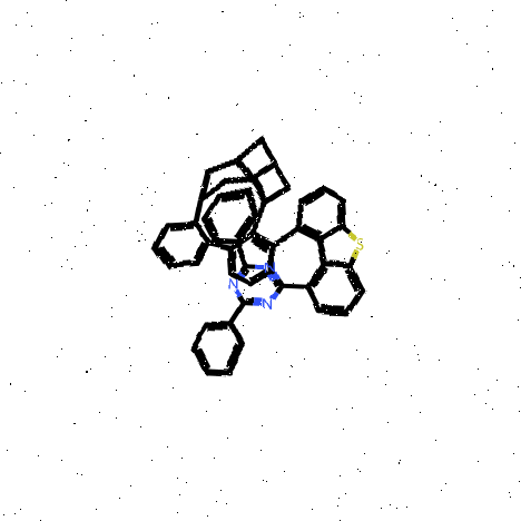 c1ccc(-c2nc(-c3ccccc3)nc(-c3cccc4sc5cccc(-c6cccc7c6C6CC8CC9CC(CC986)c6ccccc6-7)c5c34)n2)cc1